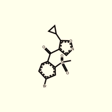 CS(=O)(=O)c1cc(Br)ccc1C(=O)c1cnoc1C1CC1